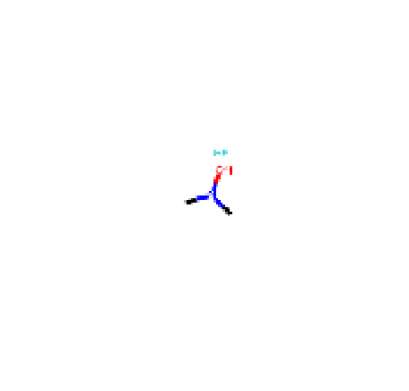 CN(C)O.F